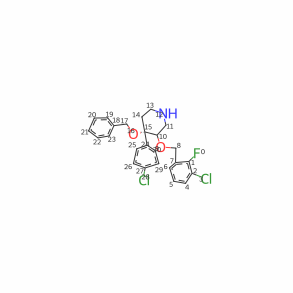 Fc1c(Cl)cccc1COC1CNCC[C@]1(OCc1ccccc1)c1ccc(Cl)cc1